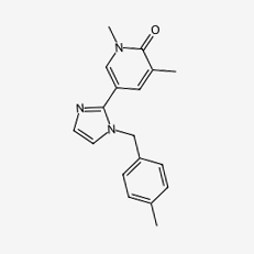 Cc1ccc(Cn2ccnc2-c2cc(C)c(=O)n(C)c2)cc1